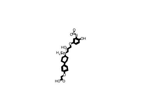 C.O=C(O)COc1ccc(C2CCC(NC[C@H](O)COc3ccc(O)c(N=S(=O)=O)c3)CC2)cc1